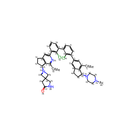 COc1cc(-c2cccc(-c3cccc(-c4cc5c(c(OC)n4)[C@@H](N4CC6(CNC(=O)C6)C4)CC5)c3Cl)c2Cl)cc2c1[C@@H](N1CCN(C(C)=O)CC1)CC2